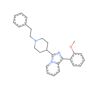 COc1ccccc1-c1nc(C2CCN(CCc3ccccc3)CC2)n2ccccc12